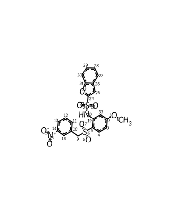 COc1ccc(S(=O)(=O)Cc2cccc([N+](=O)[O-])c2)c(NS(=O)(=O)c2cc3ccccc3o2)c1